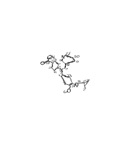 COc1ccc(N(Cc2cccnc2)c2ccc(C(=O)O)cc2)cc1OCC1CC1